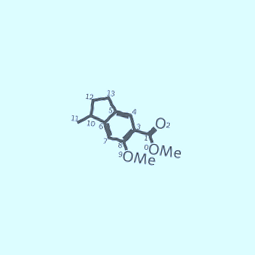 COC(=O)c1cc2c(cc1OC)C(C)CC2